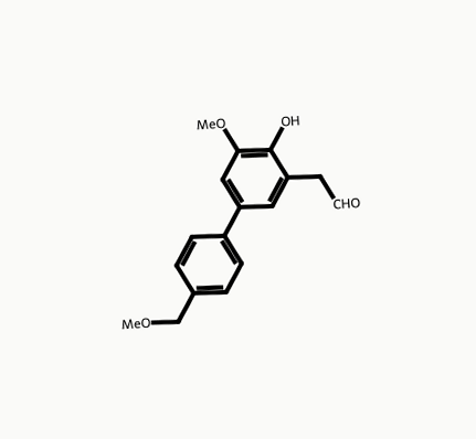 COCc1ccc(-c2cc(CC=O)c(O)c(OC)c2)cc1